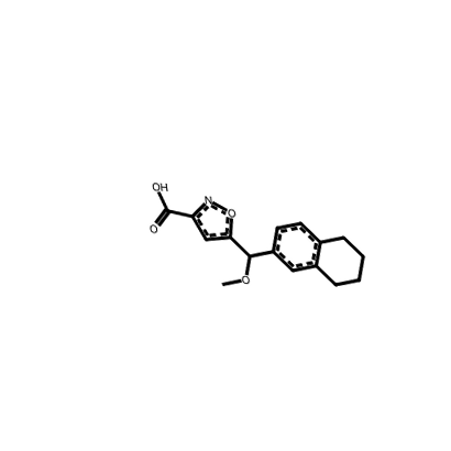 COC(c1ccc2c(c1)CCCC2)c1cc(C(=O)O)no1